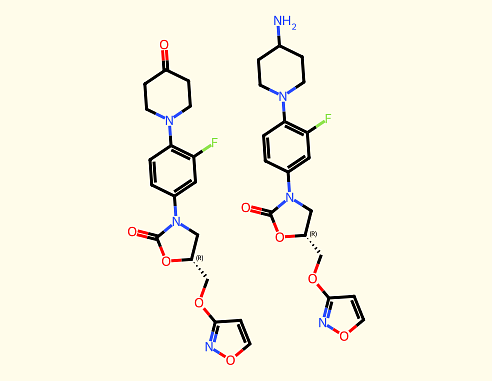 NC1CCN(c2ccc(N3C[C@H](COc4ccon4)OC3=O)cc2F)CC1.O=C1CCN(c2ccc(N3C[C@H](COc4ccon4)OC3=O)cc2F)CC1